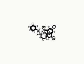 O=C1CC23CCCC(OCc4ccccc4)N(C2)C(=O)c2cc(=O)cc1n23